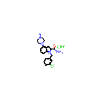 Cl.NC(=O)c1cc2c(N3CCNCC3)cccc2n1Cc1cccc(Cl)c1